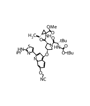 [C-]#[N+]COc1ccc2c(O[C@H]3C[C@@H](C(=O)N[C@]4(C(=O)OC)C[C@H]4C=C)N(C(=O)[C@@H](NC(=O)OC(C)(C)C)C(C)(C)C)C3)cc(-c3csc(NC(C)C)n3)nc2c1